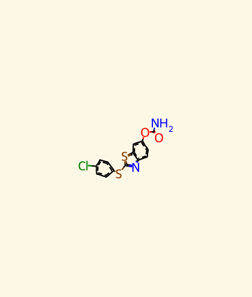 NC(=O)Oc1ccc2nc(Sc3ccc(Cl)cc3)sc2c1